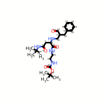 CC(C)(C)NC(=O)CC(NCC(C=O)Cc1ccccc1)C(=O)NCCNC(=O)OC(C)(C)C